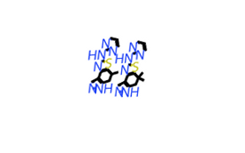 CC1(C)Cc2[nH]ncc2-c2nc(Nc3ncccn3)sc21.CC1Cc2[nH]ncc2-c2nc(Nc3ncccn3)sc21